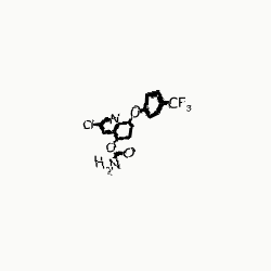 NC(=O)OC1CCC(Oc2ccc(C(F)(F)F)cc2)c2ncc(Cl)cc21